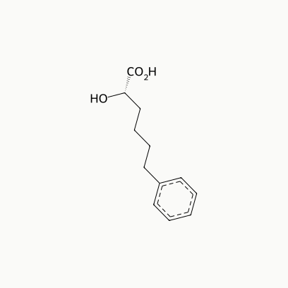 O=C(O)[C@@H](O)CCCCc1ccccc1